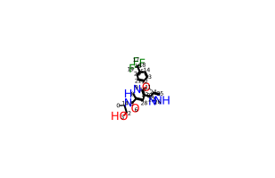 C[C@H](CO)NC(=O)c1cnc(Oc2ccc(C(F)(F)F)cc2)c(-c2cc[nH]n2)c1